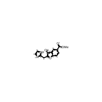 COC(=O)c1ccc2oc(Cc3ncc[nH]3)c(C)c2c1